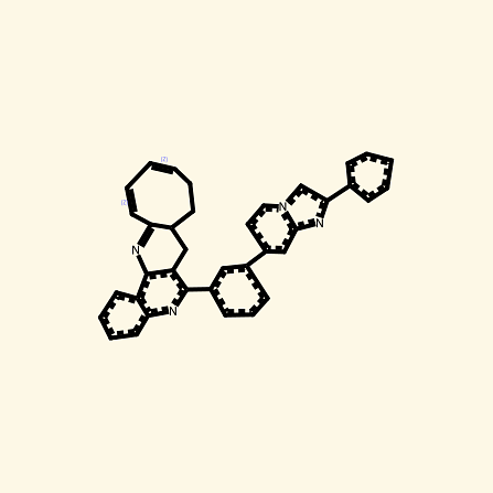 C1=C\CCC2Cc3c(-c4cccc(-c5ccn6cc(-c7ccccc7)nc6c5)c4)nc4ccccc4c3N=C2\C=C/1